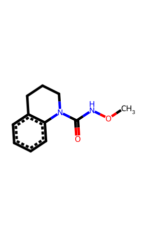 CONC(=O)N1CCCc2ccccc21